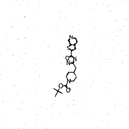 CC(C)(C)OC(=O)N1CCC(Cc2noc(-c3cc4ccncc4s3)n2)CC1